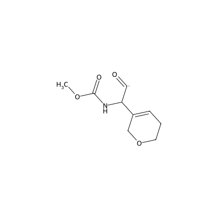 COC(=O)NC([C]=O)C1=CCCOC1